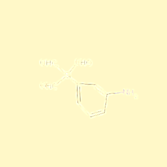 Nc1cccc([Si](C=O)(C=O)C=O)c1